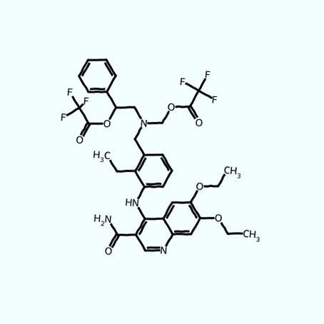 CCOc1cc2ncc(C(N)=O)c(Nc3cccc(CN(COC(=O)C(F)(F)F)CC(OC(=O)C(F)(F)F)c4ccccc4)c3CC)c2cc1OCC